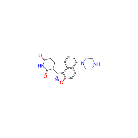 O=C1CCC(c2noc3ccc4c(N5CCNCC5)cccc4c23)C(=O)N1